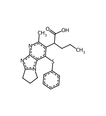 CCCC(C(=O)O)c1c(C)nc2nc3n(c2c1Sc1ccccc1)CCC3